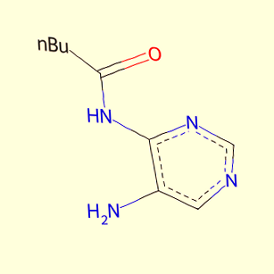 CCCCC(=O)Nc1ncncc1N